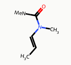 CC=CN(C)C(=O)NC